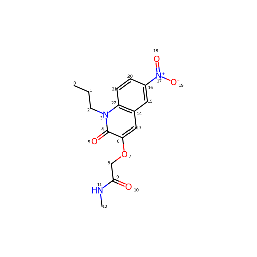 CCCn1c(=O)c(OCC(=O)NC)cc2cc([N+](=O)[O-])ccc21